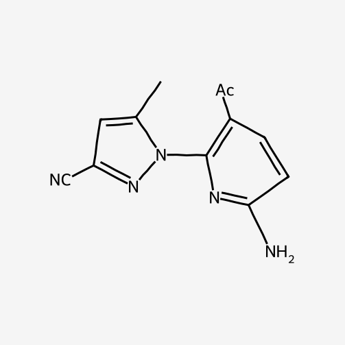 CC(=O)c1ccc(N)nc1-n1nc(C#N)cc1C